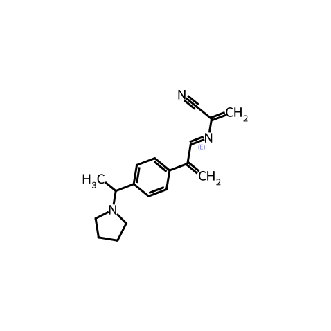 C=C(C#N)/N=C/C(=C)c1ccc(C(C)N2CCCC2)cc1